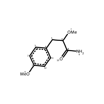 COc1ccc(CC(OC)C(N)=O)cc1